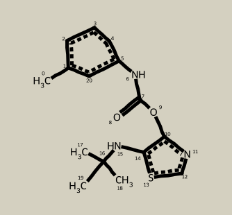 Cc1cccc(NC(=O)Oc2ncsc2NC(C)(C)C)c1